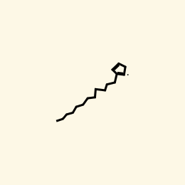 CCCCCCCCCCCCC1=[C]CC=C1